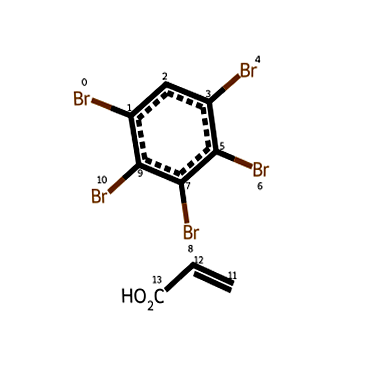 Brc1cc(Br)c(Br)c(Br)c1Br.C=CC(=O)O